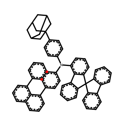 c1ccc(-c2cccc3cccc(-c4ccc(N(c5ccc(C67CC8CC(CC(C8)C6)C7)cc5)c5cccc6c5-c5ccccc5C65c6ccccc6-c6ccccc65)cc4)c23)cc1